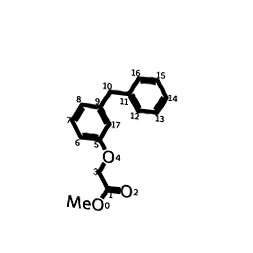 COC(=O)COc1cccc(Cc2ccccc2)c1